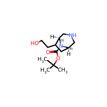 CC(C)(C)OC(=O)N1[C@H]2CNC[C@@H]1C(CCO)C2